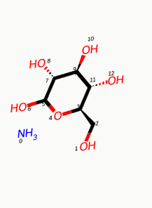 N.OC[C@H]1OC(O)[C@H](O)[C@@H](O)[C@@H]1O